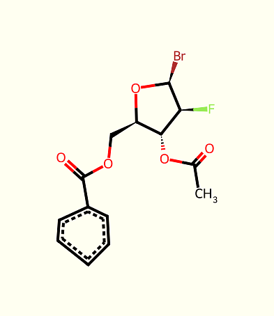 CC(=O)O[C@H]1[C@H](F)[C@H](Br)O[C@@H]1COC(=O)c1ccccc1